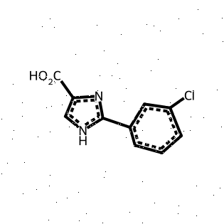 O=C(O)c1c[nH]c(-c2cccc(Cl)c2)n1